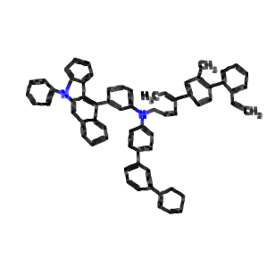 C=Cc1ccccc1-c1ccc(C(/C=C\CN(c2ccc(-c3cccc(C4=CC=CCC4)c3)cc2)c2cccc(-c3c4ccccc4cc4c3c3ccccc3n4-c3ccccc3)c2)=C/C)cc1C